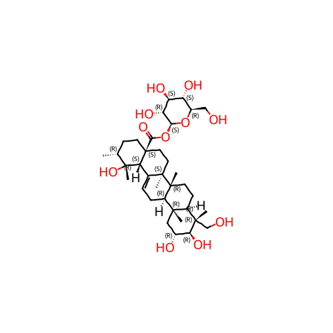 C[C@@H]1CC[C@]2(C(=O)O[C@@H]3O[C@H](CO)[C@@H](O)[C@H](O)[C@H]3O)CC[C@]3(C)C(=CC[C@@H]4[C@@]5(C)C[C@@H](O)[C@H](O)[C@@](C)(CO)[C@@H]5CC[C@]43C)[C@@H]2[C@]1(C)O